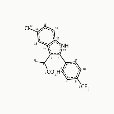 CC(C(=O)O)c1c(-c2ccc(C(F)(F)F)cc2)[nH]c2ccc(Cl)cc12